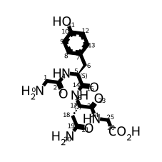 NCC(=O)N[C@@H](Cc1ccc(O)cc1)C(=O)N[C@@H](CC(N)=O)C(=O)NCC(=O)O